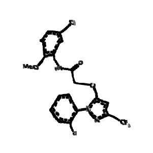 COc1ccc(Cl)cc1NC(=O)COc1cc(C(F)(F)F)nn1-c1ccccc1Cl